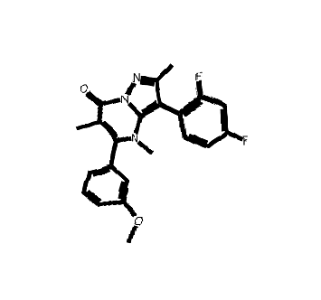 COc1cccc(-c2c(C)c(=O)n3nc(C)c(-c4ccc(F)cc4F)c3n2C)c1